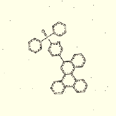 O=P(c1ccccc1)(c1ccccc1)c1ccc(-c2cc3c4ccccc4c4ccccc4c3c3ccccc23)cn1